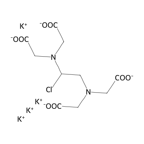 O=C([O-])CN(CC(=O)[O-])CC(Cl)N(CC(=O)[O-])CC(=O)[O-].[K+].[K+].[K+].[K+]